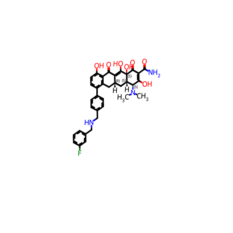 CN(C)[C@@H]1C(O)=C(C(N)=O)C(=O)[C@@]2(O)C(O)=C3C(=O)c4c(O)ccc(-c5ccc(CNCc6cccc(F)c6)cc5)c4C[C@H]3C[C@@H]12